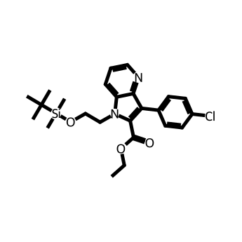 CCOC(=O)c1c(-c2ccc(Cl)cc2)c2ncccc2n1CCO[Si](C)(C)C(C)(C)C